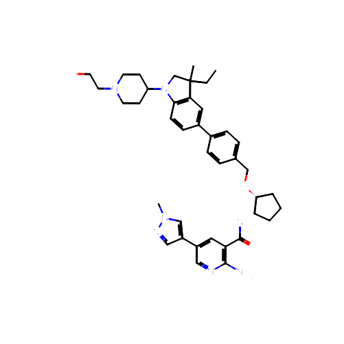 CCC1(C)CN(C2CCN(CCO)CC2)c2ccc(-c3ccc(CO[C@H]4CCC[C@@H]4NC(=O)c4cc(-c5cnn(C)c5)cnc4N)cc3)cc21